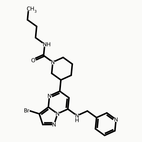 CCCCNC(=O)N1CCCC(c2cc(NCc3cccnc3)n3ncc(Br)c3n2)C1